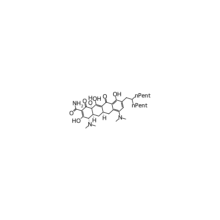 CCCCCC(CCCCC)Cc1cc(N(C)C)c2c(c1O)C(=O)C1=C(O)[C@]3(O)C(=O)C(C(N)=O)=C(O)[C@@H](N(C)C)[C@@H]3C[C@@H]1C2